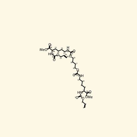 C=CCOC(=O)NC(CCCCNC(=O)OCCCCOC(=O)NCCCCC(NC(=O)OCC=C)C(=O)OC)C(=O)OC